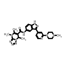 CC1=C(C(=O)Nc2ccc3[nH]nc(-c4ccnc(N5CCN(C)CC5)c4)c3c2)C(C)n2nnnc2N1C